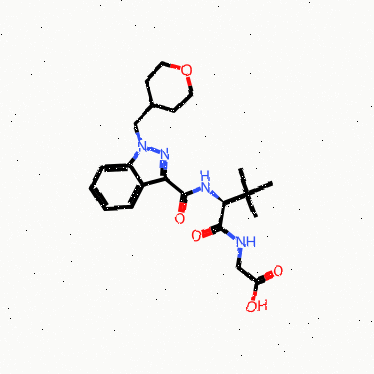 CC(C)(C)[C@H](NC(=O)c1nn(CC2CCOCC2)c2ccccc12)C(=O)NCC(=O)O